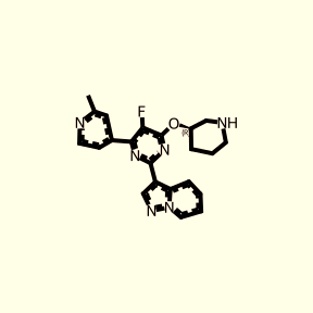 Cc1cc(-c2nc(-c3cnn4ccccc34)nc(O[C@@H]3CCCNC3)c2F)ccn1